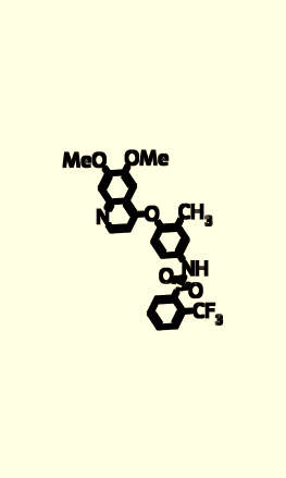 COc1cc2nccc(Oc3ccc(NS(=O)(=O)c4ccccc4C(F)(F)F)cc3C)c2cc1OC